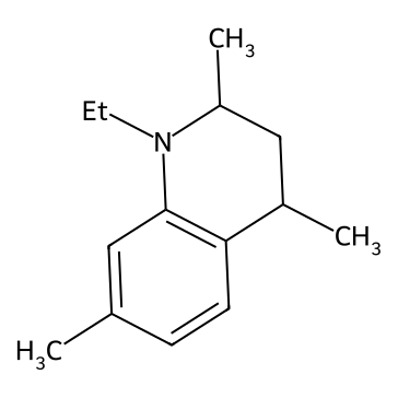 CCN1c2cc(C)ccc2C(C)CC1C